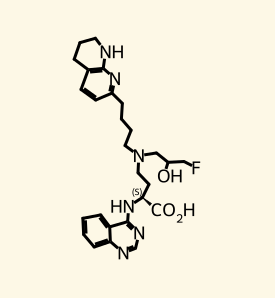 O=C(O)[C@H](CCN(CCCCc1ccc2c(n1)NCCC2)CC(O)CF)Nc1ncnc2ccccc12